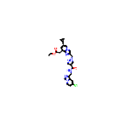 CCOC(=O)Cc1cc(C2CC2)cn2cc(Cn3cc(C(=O)NCc4ncn5ccc(Cl)cc45)cn3)nc12